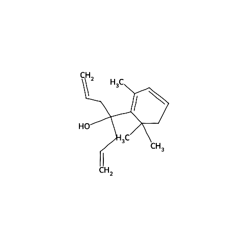 C=CCC(O)(CC=C)C1=C(C)C=CCC1(C)C